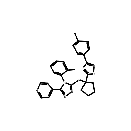 Cc1ccc(-c2noc(C3(Sc4nnc(-c5ccncc5)n4-c4ccccc4C)CCCC3)n2)cc1